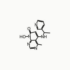 Cc1ncnc2c1c(NC(C)c1cccnc1)cc(=O)n2O